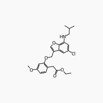 CCOC(=O)Cc1ccc(OC)cc1OCc1coc2c(NCC(C)C)cc(Cl)cc12